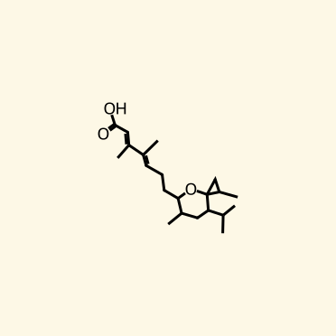 CC(=C\CCC1OC2(CC2C)C(C(C)C)CC1C)/C(C)=C/C(=O)O